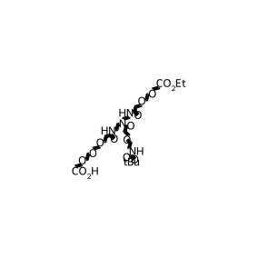 CCOC(=O)CCOCCOCCC(=O)NCCN(CCNC(=O)CCOCCOCCOCCC(=O)O)C(=O)CCOCCNC(=O)OC(C)(C)C